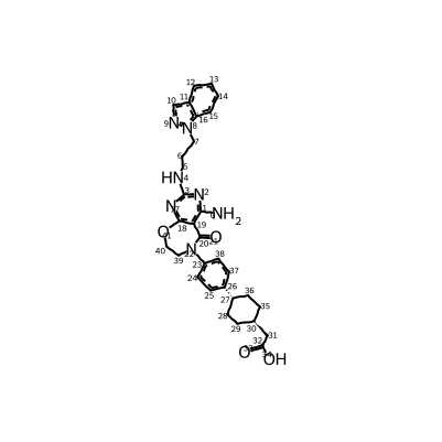 Nc1nc(NCCCn2ncc3ccccc32)nc2c1C(=O)N(c1ccc([C@H]3CC[C@H](CC(=O)O)CC3)cc1)CCO2